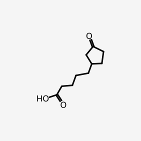 O=C(O)CCCCC1CCC(=O)C1